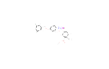 COC(=O)c1cc(S(=O)(=O)Nc2ccc(OCc3cc(F)cc(F)c3)cc2)ccc1C